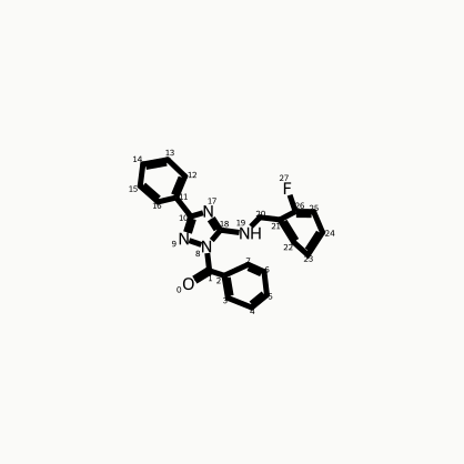 O=C(c1ccccc1)n1nc(-c2ccccc2)nc1NCc1ccccc1F